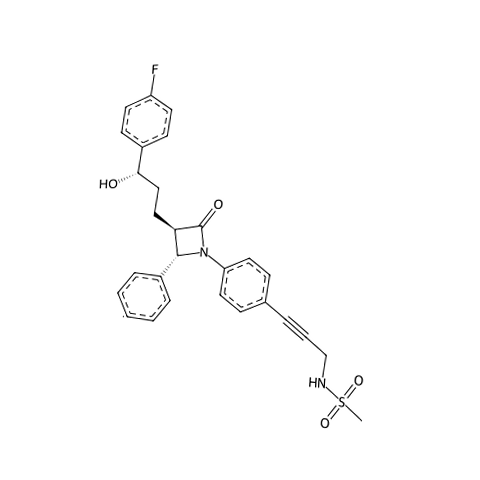 CS(=O)(=O)NCC#Cc1ccc(N2C(=O)[C@H](CC[C@H](O)c3ccc(F)cc3)[C@H]2c2cc[c]cc2)cc1